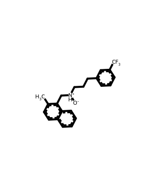 Cc1ccc2ccccc2c1C[NH+]([O-])CCCc1cccc(C(F)(F)F)c1